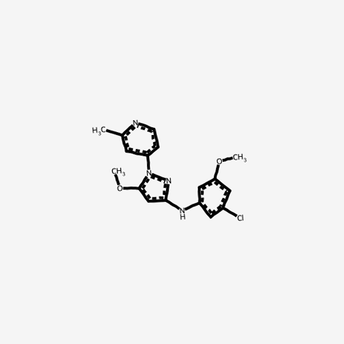 COc1cc(Cl)cc(Nc2cc(OC)n(-c3ccnc(C)c3)n2)c1